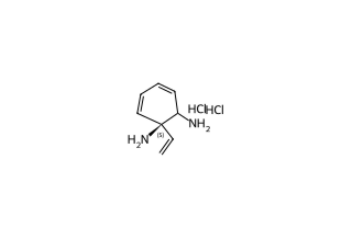 C=C[C@]1(N)C=CC=CC1N.Cl.Cl